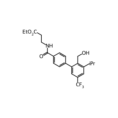 CCOC(=O)CCNC(=O)c1ccc(-c2cc(C(F)(F)F)cc(C(C)C)c2CO)cc1